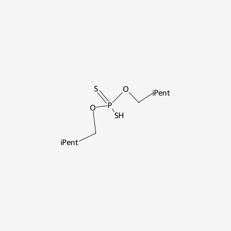 CCCC(C)COP(=S)(S)OCC(C)CCC